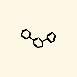 C1=CC(c2ccccc2)=NC(c2ccccc2)C1